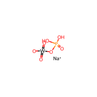 O=P(O)(O)[O][W](=[O])(=[O])[O-].[Na+]